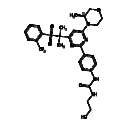 C[C@H]1COCCN1c1cc(C(C)(C)S(=O)(=O)c2ccccc2C(F)(F)F)nc(-c2ccc(NC(=O)NCCO)cc2)n1